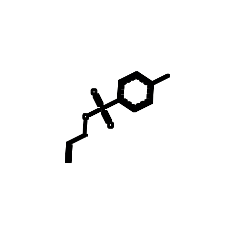 C=C[CH]OS(=O)(=O)c1ccc(C)cc1